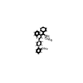 CONC(C1CCCCC1)C(CCN1CCN(c2ccccc2OC)CC1)c1ccccc1F